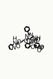 COc1ccccc1Oc1c(NS(=O)(=O)c2ccc3c(c2)OCO3)nc(-c2ccccc2)nc1OCCOC(=O)Nc1ccccn1